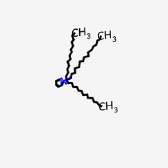 CCCCCCCCCCCCCCCCC(CCCCCCCCCCCCCC)(CCCCCCCCCCCCCC)[n+]1ccccc1